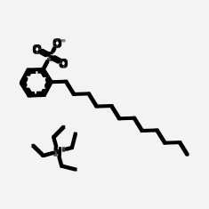 CCCCCCCCCCCCc1ccccc1S(=O)(=O)[O-].CC[N+](CC)(CC)CC